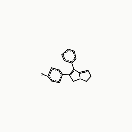 Clc1ccc(C2=C(c3ccccc3)C3=CCCN3C2)cc1